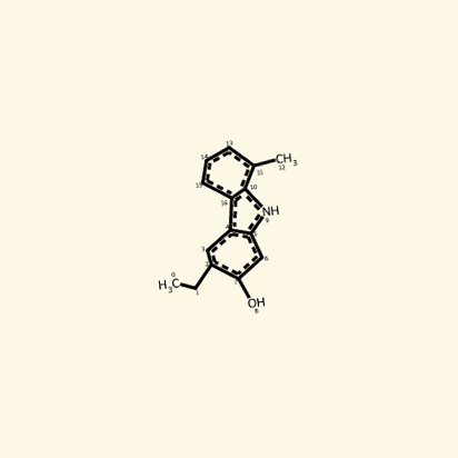 CCc1cc2c(cc1O)[nH]c1c(C)cccc12